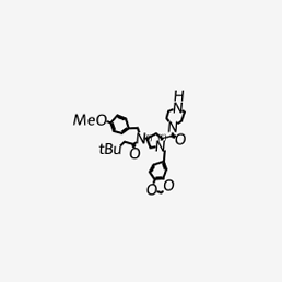 COc1ccc(CN(C(=O)CC(C)(C)C)[C@H]2C[C@@H](C(=O)N3CCNCC3)N(Cc3ccc4c(c3)OCO4)C2)cc1